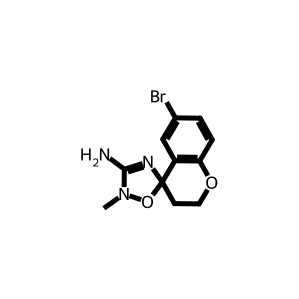 CN1OC2(CCOc3ccc(Br)cc32)N=C1N